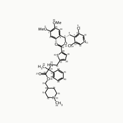 COc1ccc([C@H](Cc2c(Cl)cncc2Cl)OC(=O)c2ccc(CNC(C)(C(=O)OCC3CCN(C)CC3)c3ccccc3)s2)cc1OC